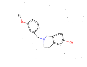 CCOc1cccc(CN2CCc3cc(O)ccc3C2)c1